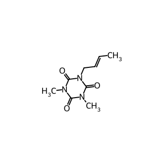 CC=CCn1c(=O)n(C)c(=O)n(C)c1=O